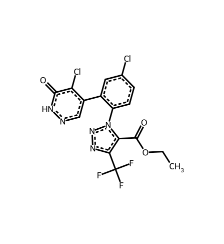 CCOC(=O)c1c(C(F)(F)F)nnn1-c1ccc(Cl)cc1-c1cn[nH]c(=O)c1Cl